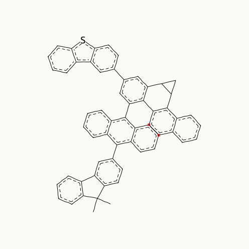 CC1(C)c2ccccc2-c2cc(-c3c4ccccc4c(-c4cc(-c5ccc6sc7ccccc7c6c5)cc5c4-c4ccc6ccccc6c4C4CC54)c4ccccc34)ccc21